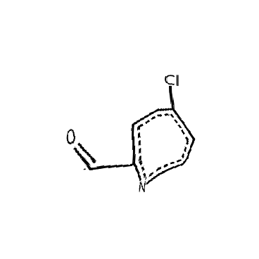 O=[C]c1cc(Cl)ccn1